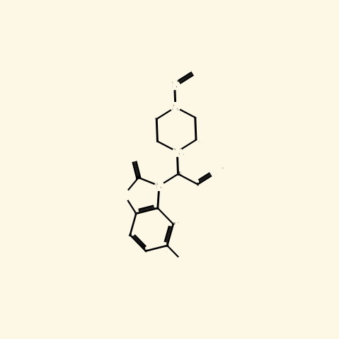 C=NN1CCN(C(C=O)n2c(=O)sc3ccc(Cl)cc32)CC1